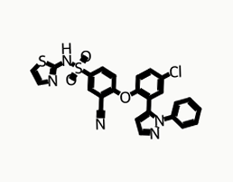 N#Cc1cc(S(=O)(=O)Nc2nccs2)ccc1Oc1ccc(Cl)cc1-c1ccnn1-c1ccccc1